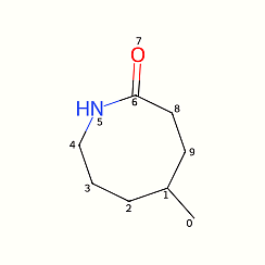 CC1CCCNC(=O)CC1